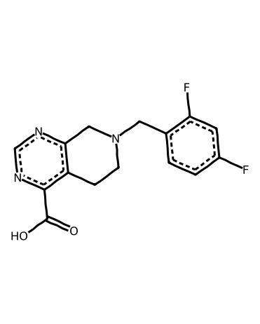 O=C(O)c1ncnc2c1CCN(Cc1ccc(F)cc1F)C2